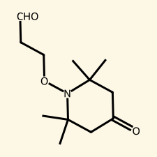 CC1(C)CC(=O)CC(C)(C)N1OCCC=O